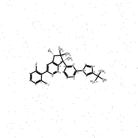 CC[C@H]1c2cc(-c3c(F)cccc3F)nnc2[C@](C)(c2ccnc(-n3cnc(C(C)(C)O)c3)n2)C1(C)C